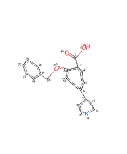 O=C(O)c1ccc(-c2ccncc2)cc1OCc1ccccc1